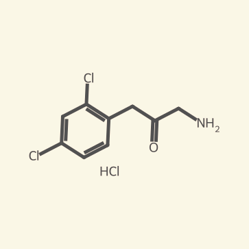 Cl.NCC(=O)Cc1ccc(Cl)cc1Cl